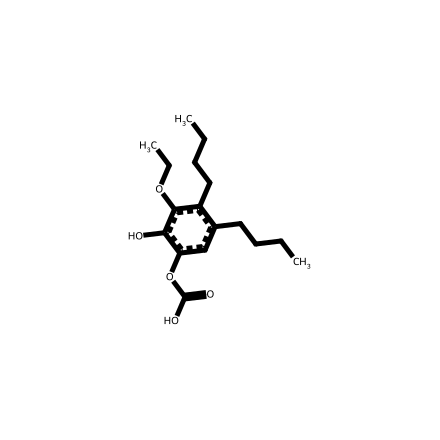 CCCCc1cc(OC(=O)O)c(O)c(OCC)c1CCCC